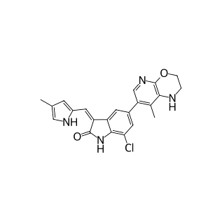 Cc1c[nH]c(/C=C2\C(=O)Nc3c(Cl)cc(-c4cnc5c(c4C)NCCO5)cc32)c1